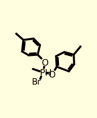 Cc1ccc(O[PH](C)(Br)Oc2ccc(C)cc2)cc1